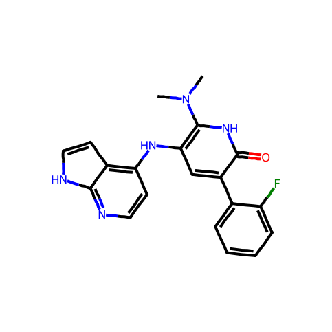 CN(C)c1[nH]c(=O)c(-c2ccccc2F)cc1Nc1ccnc2[nH]ccc12